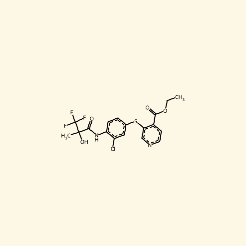 CCOC(=O)c1ccncc1Sc1ccc(NC(=O)C(C)(O)C(F)(F)F)c(Cl)c1